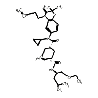 CCOCC(CC(C)C)NC(=O)[C@@H]1CNC[C@H](C(=O)N(c2ccc3c(c2)N(CCOC)C(=O)C(C)(C)O3)C2CC2)C1